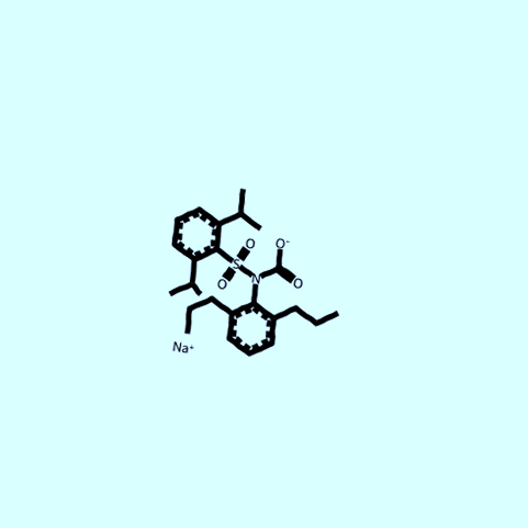 CCCc1cccc(CCC)c1N(C(=O)[O-])S(=O)(=O)c1c(C(C)C)cccc1C(C)C.[Na+]